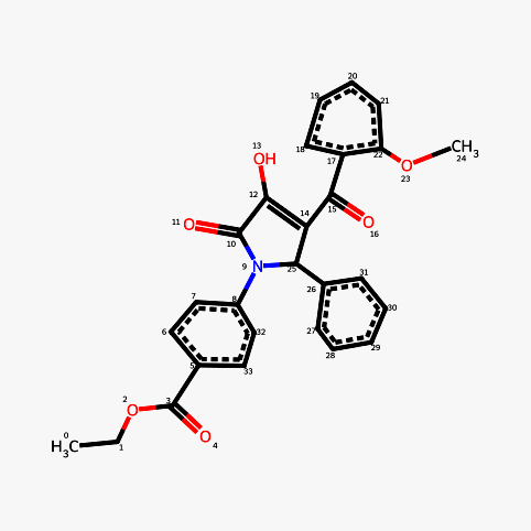 CCOC(=O)c1ccc(N2C(=O)C(O)=C(C(=O)c3ccccc3OC)C2c2ccccc2)cc1